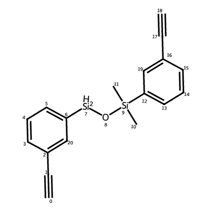 C#Cc1cccc([SiH2]O[Si](C)(C)c2cccc(C#C)c2)c1